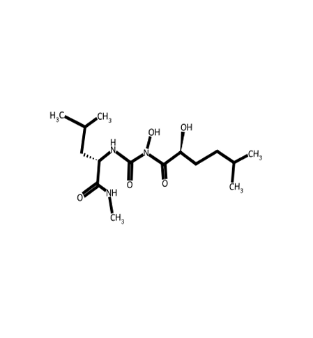 CNC(=O)[C@H](CC(C)C)NC(=O)N(O)C(=O)[C@@H](O)CCC(C)C